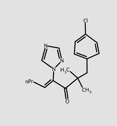 CCCC=C(C(=O)C(C)(C)Cc1ccc(Cl)cc1)n1cncn1